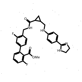 COC(=O)c1c(F)cccc1-c1ccc(CNC(=O)C2CC2CNc2ccc(C3=NCCN3)cc2)c(F)c1